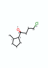 CC1CCCC1C(=O)CCCCl